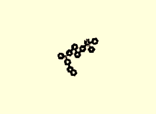 c1ccc(-c2nnc(-c3ccc(-c4ccccc4-c4ccccc4-c4ccc(N(c5ccccc5)c5ccc(-c6ccc7ccccc7c6)cc5)cc4)cc3)n2-c2ccccc2)cc1